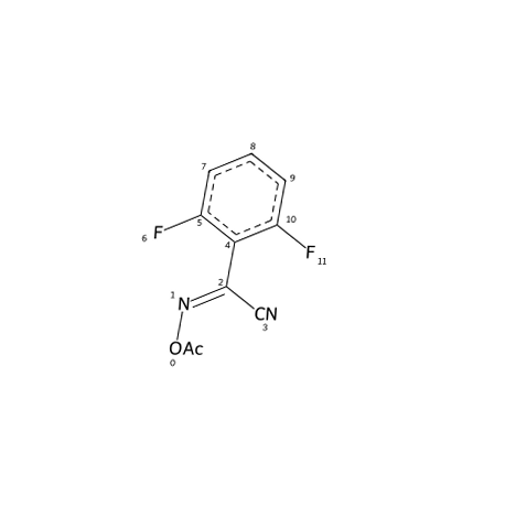 CC(=O)O/N=C(\C#N)c1c(F)cccc1F